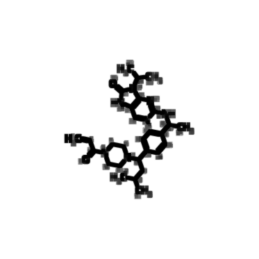 C=CC(=O)N1CCN(C(CC(C)C)c2ccc([C@H](C)Nc3ncc4[nH]c(=O)n(C(C)C)c4n3)cc2)CC1